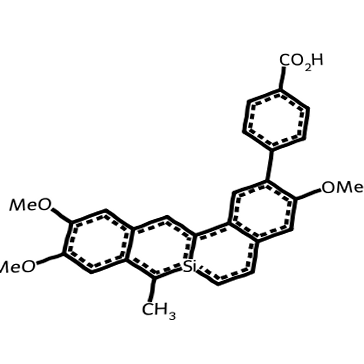 COc1cc2cc3c4cc(-c5ccc(C(=O)O)cc5)c(OC)cc4cc[si]3c(C)c2cc1OC